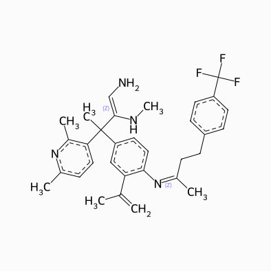 C=C(C)c1cc(C(C)(/C(=C/N)NC)c2ccc(C)nc2C)ccc1/N=C(/C)CCc1ccc(C(F)(F)F)cc1